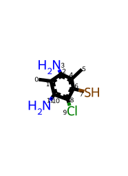 Cc1c(N)c(C)c(S)c(Cl)c1N